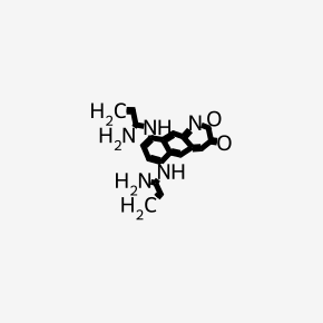 C=CC(N)Nc1ccc(NC(N)C=C)c2cc3c(cc12)=CC(=O)C(=O)N=3